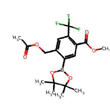 COC(=O)c1cc(B2OC(C)(C)C(C)(C)O2)c(COC(C)=O)cc1C(F)(F)F